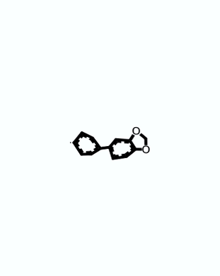 [c]1ccc(-c2ccc3c(c2)OCO3)cc1